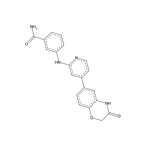 NC(=O)c1cccc(Nc2cc(-c3ccc4c(c3)NC(=O)CO4)ccn2)c1